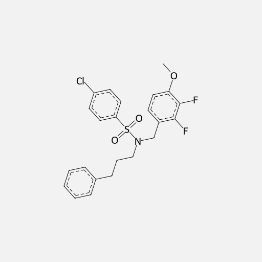 COc1ccc(CN(CCCc2ccccc2)S(=O)(=O)c2ccc(Cl)cc2)c(F)c1F